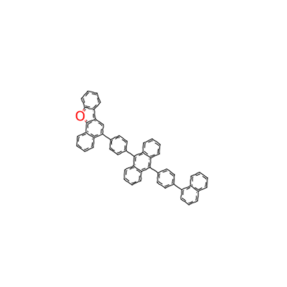 c1ccc2c(-c3ccc(-c4c5ccccc5c(-c5ccc(-c6cc7c8ccccc8oc7c7ccccc67)cc5)c5ccccc45)cc3)cccc2c1